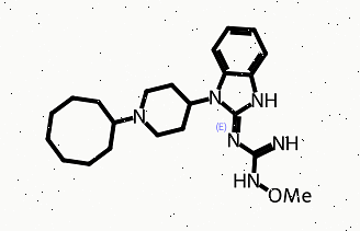 CONC(=N)/N=c1\[nH]c2ccccc2n1C1CCN(C2CCCCCCC2)CC1